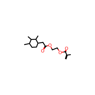 C=C(C)C(=O)OCCOC(=O)CC1CCC(C)C(C)C1C